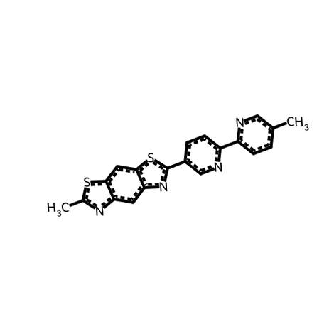 Cc1ccc(-c2ccc(-c3nc4cc5nc(C)sc5cc4s3)cn2)nc1